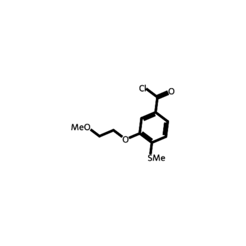 COCCOc1cc(C(=O)Cl)ccc1SC